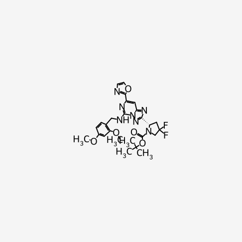 COc1ccc(CNc2nc(-c3ncco3)cc3nc([C@@H]4CC(F)(F)CN4C(=O)OC(C)(C)C)nn23)c(OC)c1